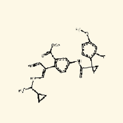 COC(=O)c1cc(NC(=O)C2(c3ccc(OC(F)(F)F)cc3F)CC2)ccc1/C(C=N)=C/NC(C)C1CC1